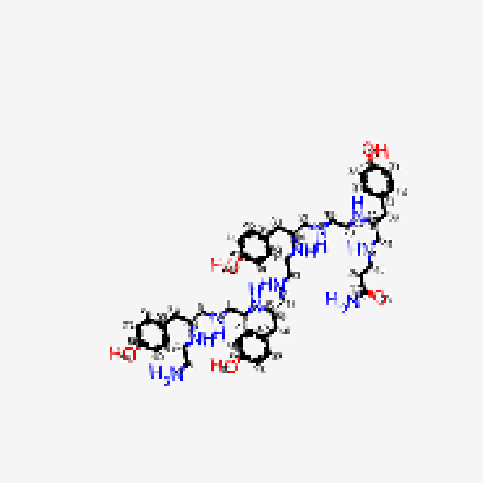 NCCN[C@H](CNCCN[C@H](CNCCN[C@H](CNCCN[C@H](CNCCC(N)=O)Cc1ccc(O)cc1)Cc1ccc(O)cc1)Cc1ccc(O)cc1)Cc1ccc(O)cc1